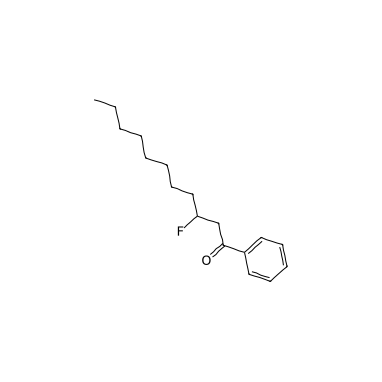 CCCCCCCCC(F)CC(=O)c1ccccc1